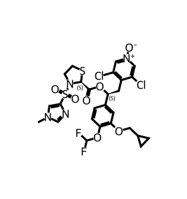 Cn1cnc(S(=O)(=O)N2CCS[C@H]2C(=O)O[C@@H](Cc2c(Cl)c[n+]([O-])cc2Cl)c2ccc(OC(F)F)c(OCC3CC3)c2)c1